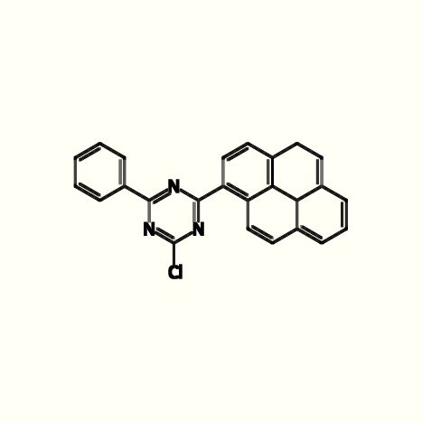 Clc1nc(-c2ccccc2)nc(-c2ccc3c4c2C=CC2=CC=CC(=CC3)C24)n1